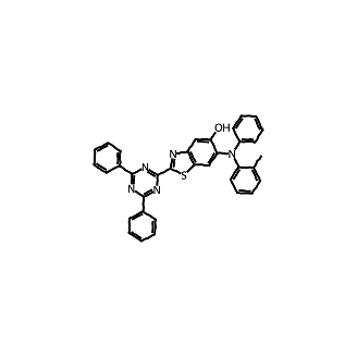 Cc1ccccc1N(c1ccccc1)c1cc2sc(-c3nc(-c4ccccc4)nc(-c4ccccc4)n3)nc2cc1O